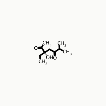 CC[C@](O)(CC(=O)C(C)C)C(C)=O